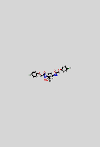 O=C(COc1ccc(F)cc1)NC12CCC(NC(=O)COc3ccc(F)cc3)(CC1)[C@@H](O)C2